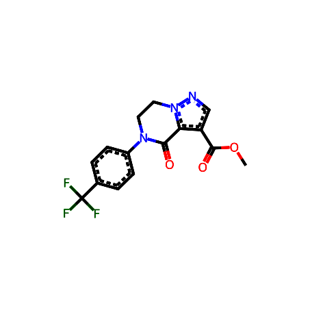 COC(=O)c1cnn2c1C(=O)N(c1ccc(C(F)(F)F)cc1)CC2